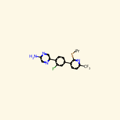 CC(C)Sc1nc(C(F)(F)F)ccc1-c1ccc(-c2cnc(N)cn2)c(F)c1